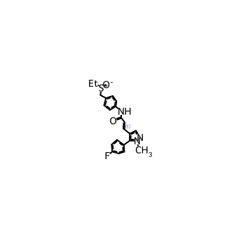 CC[S+]([O-])Cc1ccc(NC(=O)/C=C/c2cnn(C)c2-c2ccc(F)cc2)cc1